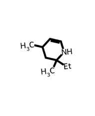 CCC1(C)CC(C)C=CN1